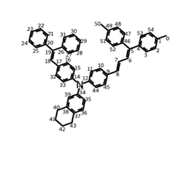 Cc1ccc(C(=C/C=C/c2ccc(N(c3ccc(C=C(c4ccccc4)c4ccccc4)cc3)c3ccc4c(c3)CCCC4)cc2)c2ccc(C)cc2)cc1